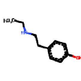 O=C(O)CNCCc1ccc(O)cc1